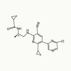 C[C@H](CNc1nc(C2CC2)c(-c2cncc(Cl)n2)cc1C#N)NC(=O)C1CC1